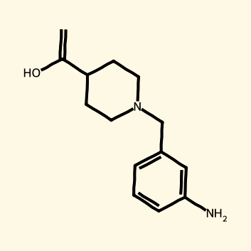 C=C(O)C1CCN(Cc2cccc(N)c2)CC1